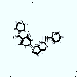 O=C(c1c(F)cc(-n2ccc3cnc(Nc4ccccn4)nc32)cc1F)N1CCOCC1